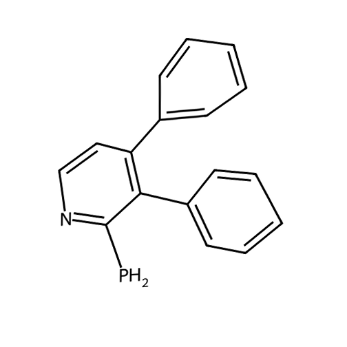 Pc1nccc(-c2ccccc2)c1-c1ccccc1